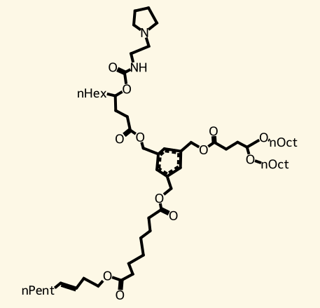 CCCCCC=CCCOC(=O)CCCCCCC(=O)OCc1cc(COC(=O)CCC(CCCCCC)OC(=O)NCCN2CCCC2)cc(COC(=O)CCC(OCCCCCCCC)OCCCCCCCC)c1